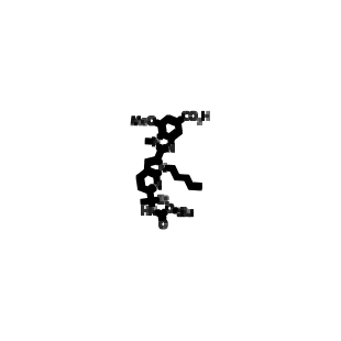 C=CCCCn1c(-c2nc3cc(C(=O)O)cc(OC)c3n2C)cc2ccc(C(C)(CC)NC(=O)OC(C)(C)C)nc21